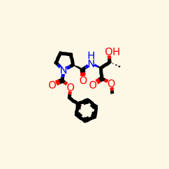 COC(=O)[C@@H](NC(=O)[C@@H]1CCCN1C(=O)OCc1ccccc1)[C@@H](C)O